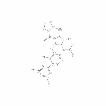 CC[S+]([O-])N[C@H]1[C@@H](F)CN(C(=O)C2CCCC2C)[C@H]1Cc1cccc(-c2cc(F)cc(F)c2)c1F